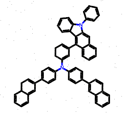 C1=CC2=CC(c3ccc(N(C4=CC(c5c6ccccc6cc6c5c5ccccc5n6-c5ccccc5)=CCC4)c4ccc(-c5ccc6ccccc6c5)cc4)cc3)=CCC2C=C1